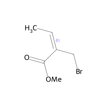 C/C=C(/CBr)C(=O)OC